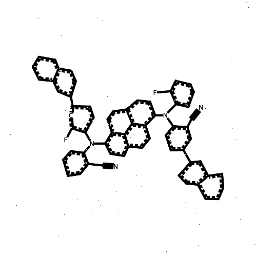 N#Cc1ccccc1N(c1ccc(-c2ccc3ccccc3c2)cc1F)c1ccc2ccc3c(N(c4ccccc4F)c4ccc(-c5ccc6ccccc6c5)cc4C#N)ccc4ccc1c2c43